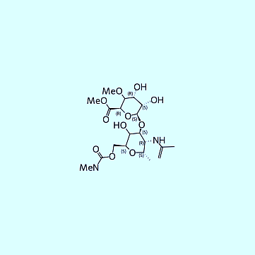 C=C(C)N[C@@H]1[C@H](C)O[C@@H](COC(=O)NC)C(O)[C@H]1O[C@H]1O[C@@H](C(=O)OC)C(OC)[C@H](O)[C@@H]1O